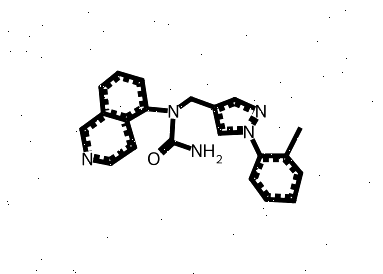 Cc1ccccc1-n1cc(CN(C(N)=O)c2cccc3cnccc23)cn1